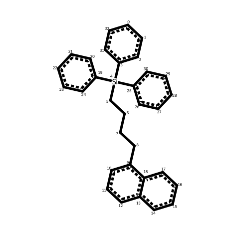 c1ccc([Si](CCCCc2cccc3ccccc23)(c2ccccc2)c2ccccc2)cc1